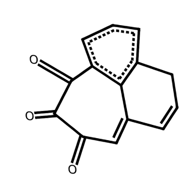 O=C1C=C2C=CCc3cccc(c32)C(=O)C1=O